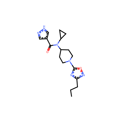 CCCc1noc(N2CCC(N(C(=O)c3cn[nH]c3)C3CC3)CC2)n1